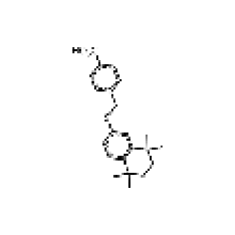 CC1(C)CCC(C)(C)c2cc(SCc3ccc(C(=O)O)cc3)ccc21